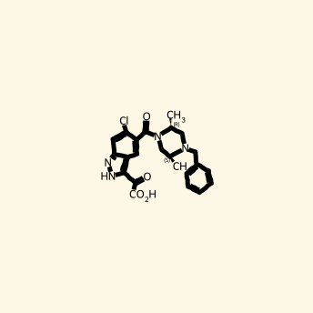 C[C@@H]1CN(Cc2ccccc2)[C@@H](C)CN1C(=O)c1cc2c(C(=O)C(=O)O)[nH]nc2cc1Cl